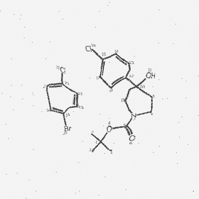 CC(C)(C)OC(=O)N1CCC(O)(c2ccc(Cl)cc2)C1.Clc1ccc(Br)cc1